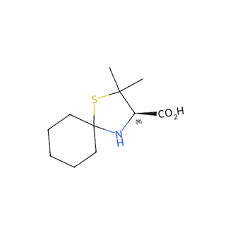 CC1(C)SC2(CCCCC2)N[C@@H]1C(=O)O